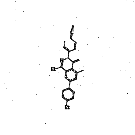 C=C=C/C=C\C(=C/C)C1N=C(CC)c2cc(-c3ccc(CC)cc3)cc(C)c2C1=C